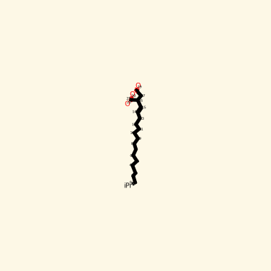 CC(C)CCCCCCCCCCCCCC=CC1CC(=O)OC1=O